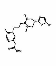 COC(=O)Cc1ccc(C)c(OCCN2[C@H](C)CN(c3ncc(Br)s3)C[C@@H]2C)c1